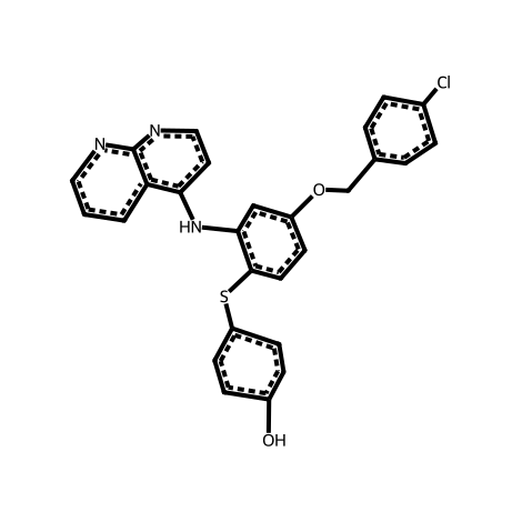 Oc1ccc(Sc2ccc(OCc3ccc(Cl)cc3)cc2Nc2ccnc3ncccc23)cc1